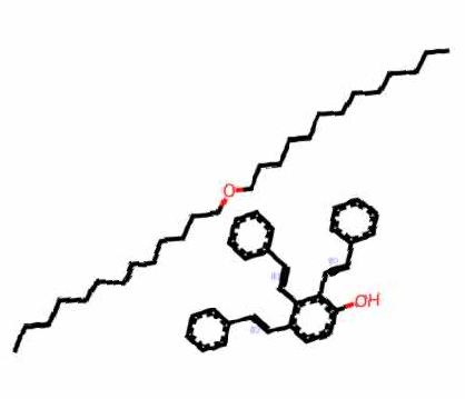 CCCCCCCCCCCCCOCCCCCCCCCCCCC.Oc1ccc(/C=C/c2ccccc2)c(/C=C/c2ccccc2)c1/C=C/c1ccccc1